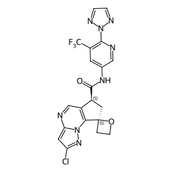 O=C(Nc1cnc(-n2nccn2)c(C(F)(F)F)c1)[C@H]1C[C@]2(CCO2)c2c1cnc1cc(Cl)nn21